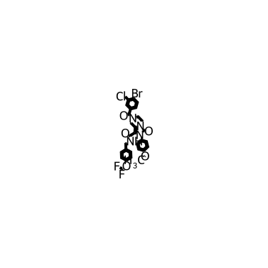 COc1ccc(-n2c(C(=O)NCc3ccc(OC(F)F)cc3)c3n(c2=O)CCN(C(=O)c2ccc(Br)c(Cl)c2)C3)cc1